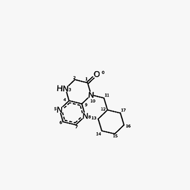 O=C1CNc2nccnc2N1CC1CCCCC1